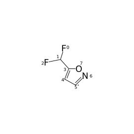 FC(F)c1c[c]no1